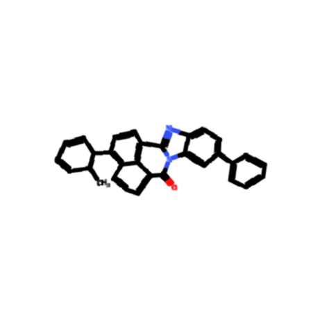 CC1C=CC=CC1c1ccc2c3c1cccc3c(=O)n1c3cc(-c4ccccc4)ccc3nc21